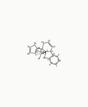 C[SiH](C)C12[C]c3ccccc3C1C=CCC2C1=CC=CC1